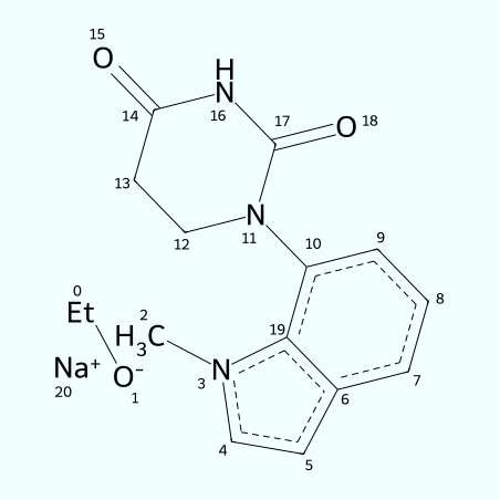 CC[O-].Cn1ccc2cccc(N3CCC(=O)NC3=O)c21.[Na+]